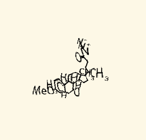 CO[C@@H]1CC[C@@]2(C)[C@H](CC(=O)[C@@H]3[C@@H]2CC[C@]2(C)[C@@H]([C@H](C)CCC(=O)N=[N+]=[N-])CC[C@@H]32)C1